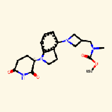 CN(CC1CN(c2cccc3c2CCN3[C@@H]2CCC(=O)NC2=O)C1)C(=O)OC(C)(C)C